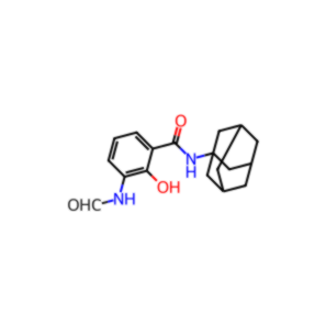 O=CNc1cccc(C(=O)NC23CC4CC(CC(C4)C2)C3)c1O